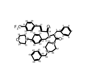 O=C([C@H](Cc1ccccc1)N(Cc1ccc(N2CCOCC2)cc1)C(=O)C=Cc1ccc(C(F)(F)F)cc1)N1CCN(Cc2ccccc2)CC1